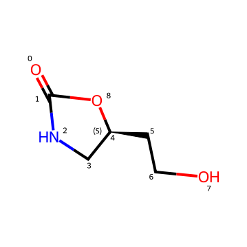 O=C1NC[C@H](CCO)O1